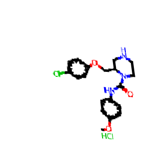 COc1ccc(NC(=O)N2CCNCC2COc2ccc(Cl)cc2)cc1.Cl